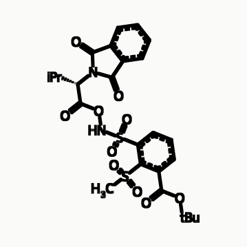 CC(C)[C@@H](C(=O)ONS(=O)(=O)c1cccc(C(=O)OC(C)(C)C)c1S(C)(=O)=O)N1C(=O)c2ccccc2C1=O